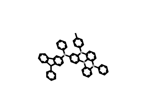 Cc1ccc(N2c3cc(N(c4ccccc4)c4ccc5c(c4)-c4ccccc4C5c4ccccc4)ccc3B3c4ccccc4N(c4ccccc4)c4cccc2c43)cc1